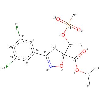 CC(C)OC(=O)C1(C(C)OS(C)(=O)=O)CC(c2cc(F)cc(F)c2)=NO1